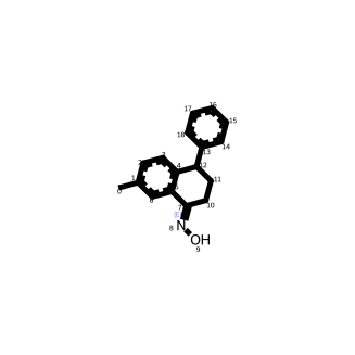 Cc1ccc2c(c1)/C(=N/O)CCC2c1ccccc1